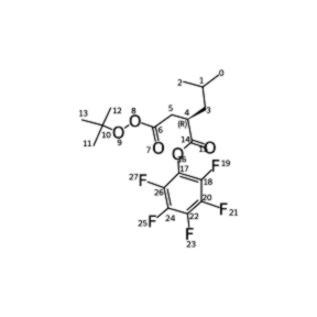 CC(C)C[C@H](CC(=O)OOC(C)(C)C)C(=O)Oc1c(F)c(F)c(F)c(F)c1F